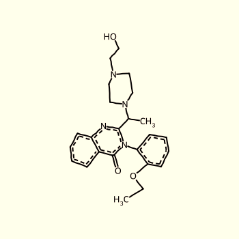 CCOc1ccccc1-n1c(C(C)N2CCN(CCO)CC2)nc2ccccc2c1=O